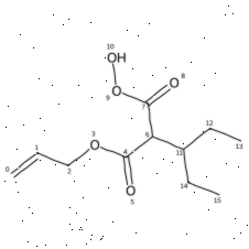 C=CCOC(=O)C(C(=O)OO)C(CC)CC